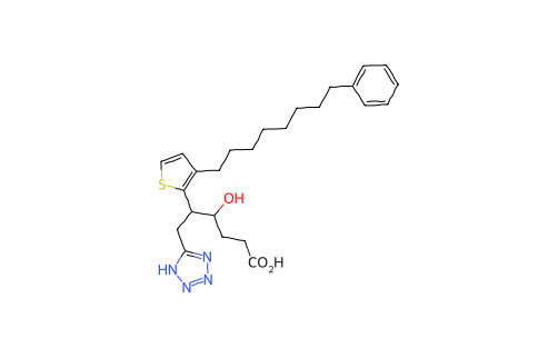 O=C(O)CCC(O)C(Cc1nnn[nH]1)c1sccc1CCCCCCCCc1ccccc1